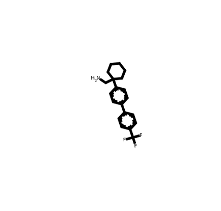 NCC1(c2ccc(-c3ccc(C(F)(F)F)cc3)cc2)CCCCC1